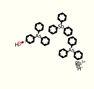 [C]=O.[H-].[H-].[H-].[Rh+3].c1cc[c]([Sb]([c]2ccccc2)[c]2ccccc2)cc1.c1ccc([As](c2ccccc2)c2ccccc2)cc1.c1ccc([As](c2ccccc2)c2ccccc2)cc1